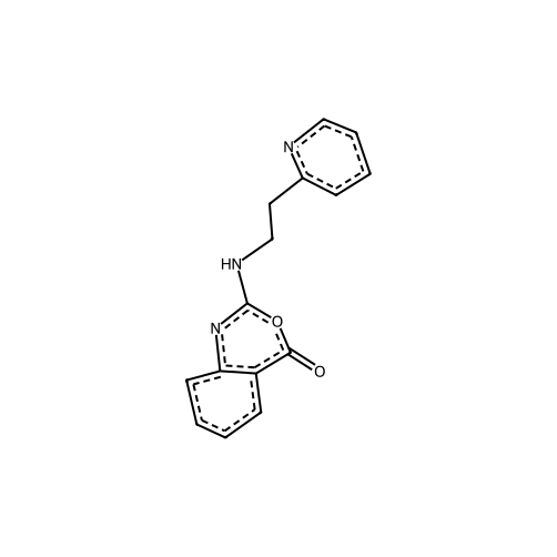 O=c1oc(NCCc2ccccn2)nc2ccccc12